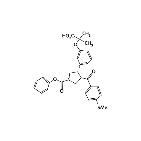 CSc1ccc(C(=O)C2CN(C(=O)Oc3ccccc3)C[C@@H]2c2cccc(OC(C)(C)C(=O)O)c2)cc1